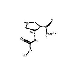 COC(=O)C1CNC[C@H]1NC(=O)OC(C)(C)C